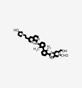 Cc1c(Nc2nccc3cc(CCN4CCC(O)C4)cnc23)cccc1-c1cccc(C(=N)SC(=C/CCO)/C(Cl)=C\NC=O)c1C